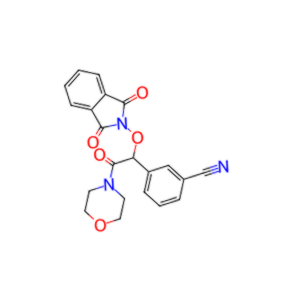 N#Cc1cccc(C(ON2C(=O)c3ccccc3C2=O)C(=O)N2CCOCC2)c1